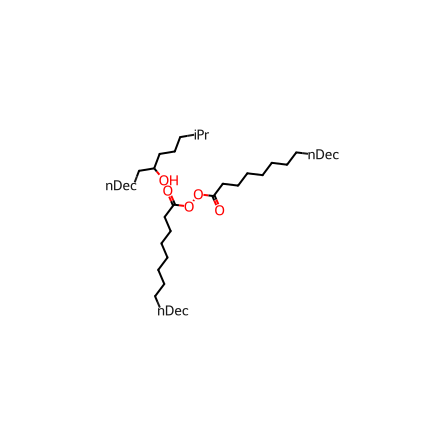 CCCCCCCCCCCC(O)CCCC(C)C.CCCCCCCCCCCCCCCCCC(=O)OOC(=O)CCCCCCCCCCCCCCCCC